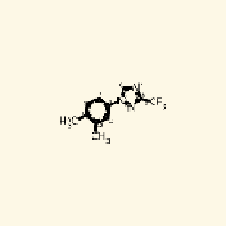 Cc1ccc(-n2cnc(C(F)(F)F)n2)cc1C